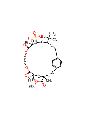 CCCCOC(=O)C1(C)CCc2ccc(cc2)CCC(C(C)(C#N)CC)CC(P(=O)(O)O)C(C)(CC)C(=O)OCCOC(=O)C(C)(CC)C1